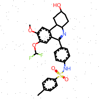 COc1cc2c(cc1OC(F)F)C(c1ccc(NS(=O)(=O)c3ccc(C)cc3)cc1)=NC1CCC(O)CC21